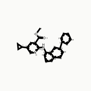 COC(=O)c1cc(C2CC2)cnc1Nc1cccc2ccc(-c3ccccc3)cc12